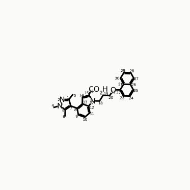 Cc1nn(C)c(C)c1-c1cccc2c1cc(C(=O)O)n2CCCOc1cccc2ccccc12